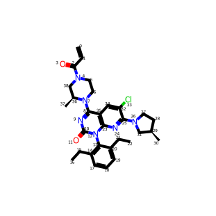 C=CC(=O)N1CCN(c2nc(=O)n(-c3c(CC)cccc3CC)c3nc(N4CC[C@@H](C)C4)c(Cl)cc23)[C@@H](C)C1